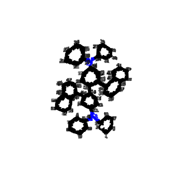 c1ccc(N(c2ccccc2)c2ccc(-c3ccc(N(c4ccccc4)c4ccccc4)cc3-c3cccc4ccccc34)c(-c3cccc4ccccc34)c2)cc1